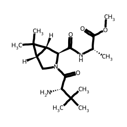 COC(=O)[C@H](C)NC(=O)[C@@H]1[C@@H]2[C@H](CN1C(=O)[C@@H](N)C(C)(C)C)C2(C)C